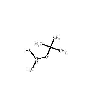 C[SiH](S)OC(C)(C)C